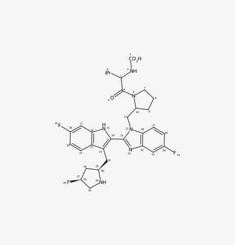 CC(C)C(NC(=O)O)C(=O)N1CCCC1Cn1c(-c2[nH]c3cc(F)ccc3c2C[C@@H]2C[C@H](F)CN2)nc2cc(F)ccc21